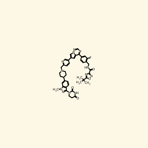 Cn1nc(N2CCC(=O)NC2=O)c2ccc(C3CCN(Cc4ccc(-c5cc6c(-c7ccc(CNC(=O)c8noc(C(C)(C)C)n8)c(F)c7)ncnn6c5)cn4)CC3)cc21